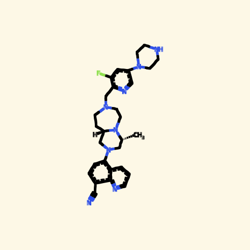 C[C@@H]1CN(c2ccc(C#N)c3ncccc23)C[C@@H]2CCN(Cc3ncc(N4CCNCC4)cc3F)CCN21